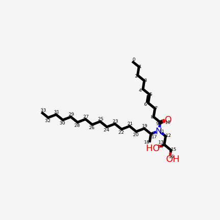 CCCCC/C=C/CCC(=O)N(CC(O)CO)C(C)CCCCCCCCCCCCCCC